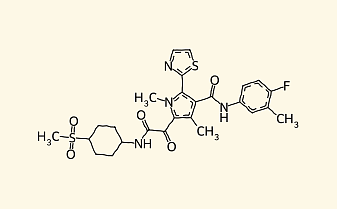 Cc1cc(NC(=O)c2c(C)c(C(=O)C(=O)NC3CCC(S(C)(=O)=O)CC3)n(C)c2-c2nccs2)ccc1F